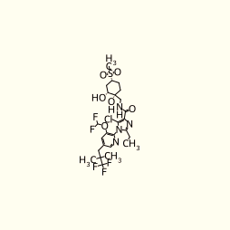 CCc1nc(C(=O)NC[C@]2(O)CC[C@@H](S(C)(=O)=O)C[C@H]2O)c(Cl)n1-c1ncc(CC(C)(C)C(F)(F)F)cc1OC(F)F